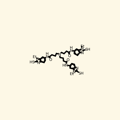 CCn1c(S)nc2ccc(NC(=O)CCCN(CCCC(=O)Nc3ccc4nc(S)n(CC)c4c3)CCCC(=O)Nc3ccc4nc(S)n(CC)c4c3)cc21